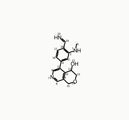 CNc1cc(-c2cncc3c2C(O)COC3)ccc1C=N